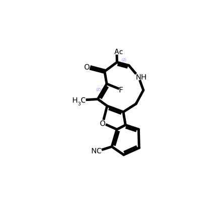 CC(=O)/C1=C/NCCc2c(oc3c(C#N)cccc23)/C(C)=C(\F)C1=O